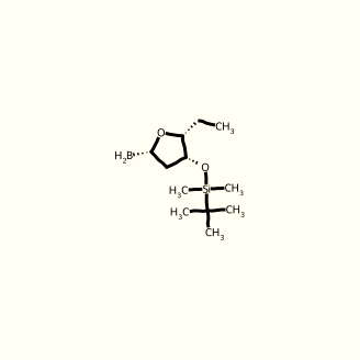 B[C@H]1C[C@@H](O[Si](C)(C)C(C)(C)C)[C@@H](CC)O1